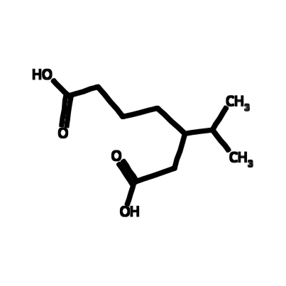 CC(C)C(CCCC(=O)O)CC(=O)O